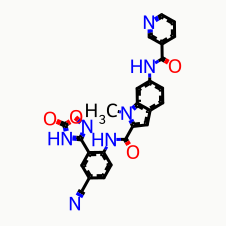 Cn1c(C(=O)Nc2ccc(C#N)cc2-c2noc(=O)[nH]2)cc2ccc(NC(=O)c3cccnc3)cc21